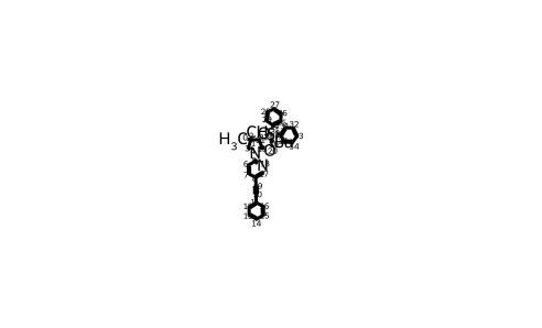 CC1(C)CN(c2ccc(C#Cc3ccccc3)cn2)C(=O)[C@H]1O[Si](c1ccccc1)(c1ccccc1)C(C)(C)C